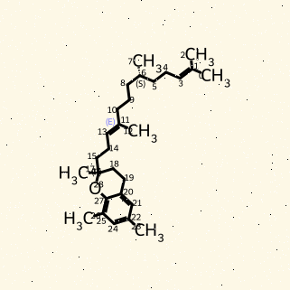 CC(C)=CCC[C@@H](C)CCC/C(C)=C/CC[C@]1(C)CCc2cc(C)cc(C)c2O1